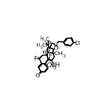 CON(C)C(=O)[C@@]12ON(Cc3ccc(Cl)cc3)C[C@@H]1CC1[C@@H]3C[C@H](F)C4=CC(=O)C=C[C@]4(C)[C@@]3(F)[C@@H](O)C[C@@]12C